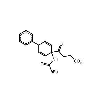 CCCCC(=O)NC1(C(=O)CCC(=O)O)C=CC(c2ccccc2)C=C1